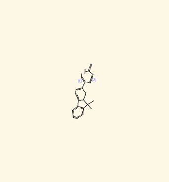 C=C(I)/C=C\C(=C/C)C1=CC=C2c3ccccc3C(C)(C)C2C1